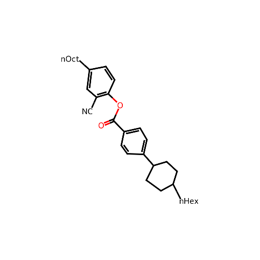 CCCCCCCCc1ccc(OC(=O)c2ccc(C3CCC(CCCCCC)CC3)cc2)c(C#N)c1